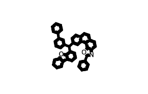 c1ccc(-c2cccc(C(c3ccc4ccc5ccc6nc(-c7ccccc7)oc6c5c4c3)c3cccc4c3oc3ccccc34)c2)cc1